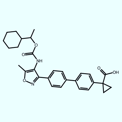 Cc1onc(-c2ccc(-c3ccc(C4(C(=O)O)CC4)cc3)cc2)c1NC(=O)OC(C)C1CCCCC1